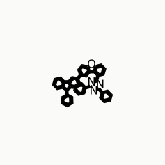 c1ccc(-c2nc(-c3ccccc3)nc(-c3cccc4oc5ccc(-c6ccc7c(c6)-c6ccccc6C7c6ccccc6)cc5c34)n2)cc1